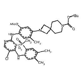 COc1cc(N2CC3(CCN(C(=O)OC(C)(C)C)CC3)C2)c(C)cc1Nc1ncc(Cl)c(Nc2cc(C)c(C)cc2P(C)(C)=O)n1